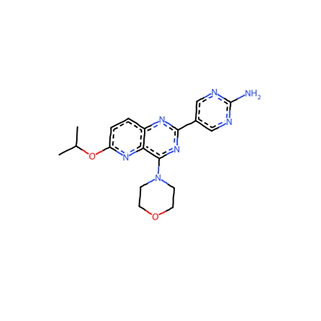 CC(C)Oc1ccc2nc(-c3cnc(N)nc3)nc(N3CCOCC3)c2n1